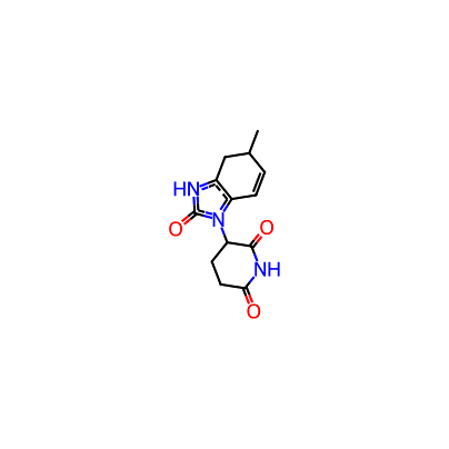 CC1C=Cc2c([nH]c(=O)n2C2CCC(=O)NC2=O)C1